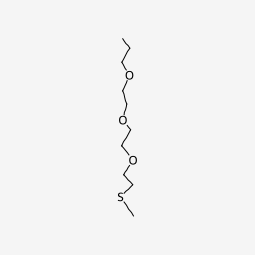 CCCOCCOCCOCCSC